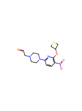 O=CCN1CCN(c2ccc([N+](=O)[O-])c(OC3CSC3)n2)CC1